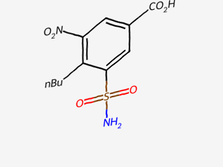 CCCCc1c([N+](=O)[O-])cc(C(=O)O)cc1S(N)(=O)=O